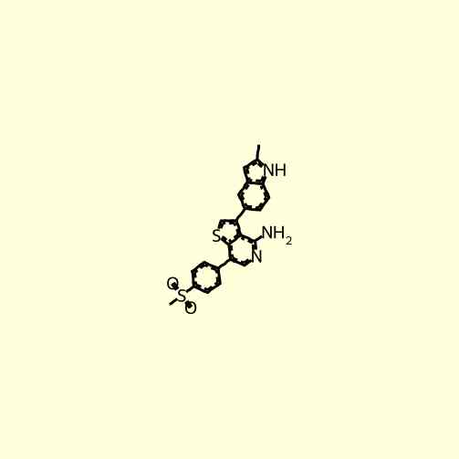 Cc1cc2cc(-c3csc4c(-c5ccc(S(C)(=O)=O)cc5)cnc(N)c34)ccc2[nH]1